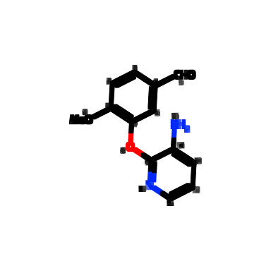 COc1ccc(C=O)cc1Oc1ncccc1N